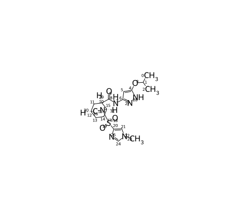 CC(C)Oc1cc(NC(=O)[C@@H]2C[C@@H]3CC[C@H]2N(S(=O)(=O)c2cn(C)cn2)C3)n[nH]1